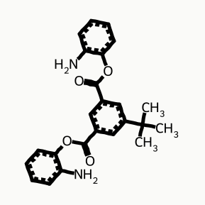 CC(C)(C)c1cc(C(=O)Oc2ccccc2N)cc(C(=O)Oc2ccccc2N)c1